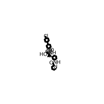 O=C(Nc1cccc([C@@H]2C[C@]2(NS(=O)(=O)c2ccc(-c3ccc(Cl)cc3)cc2)C(=O)O)c1)c1ccccn1